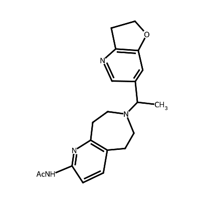 CC(=O)Nc1ccc2c(n1)CCN(C(C)c1cnc3c(c1)OCC3)CC2